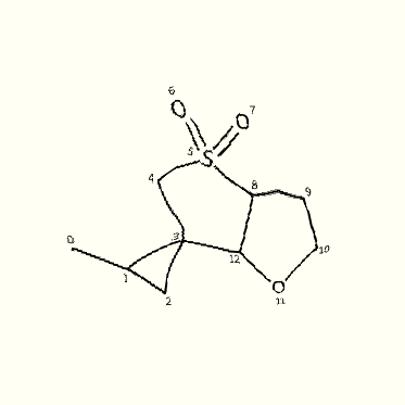 CC1CC12CS(=O)(=O)C1CCOC12